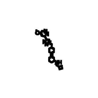 COc1cnnc(-c2cn(Cc3ccc(N4CCC[C@@H](NCC5CCC5)C4)cc3)nn2)c1